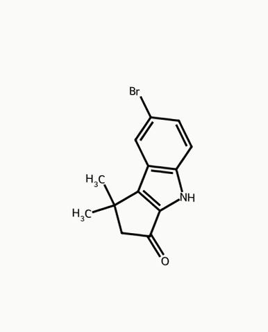 CC1(C)CC(=O)c2[nH]c3ccc(Br)cc3c21